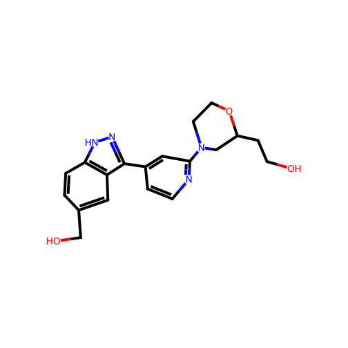 OCCC1CN(c2cc(-c3n[nH]c4ccc(CO)cc34)ccn2)CCO1